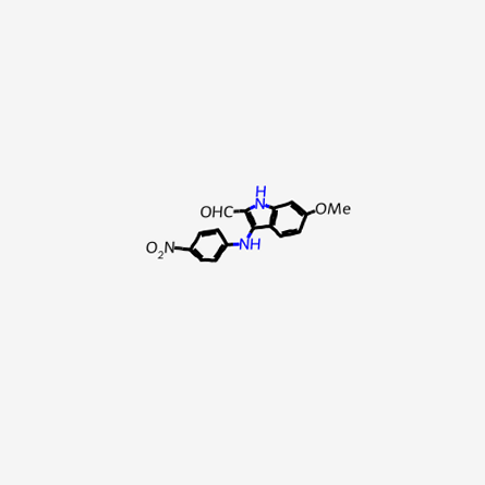 COc1ccc2c(Nc3ccc([N+](=O)[O-])cc3)c(C=O)[nH]c2c1